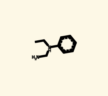 CC[SiH](CN)c1ccccc1